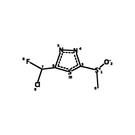 C[S+]([O-])c1nnc(C(F)Cl)s1